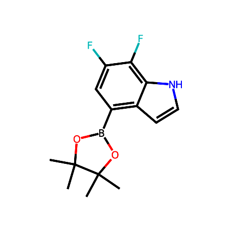 CC1(C)OB(c2cc(F)c(F)c3[nH]ccc23)OC1(C)C